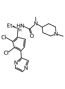 CC[C@@H](NC(=O)N(C)C1CCN(C)CC1)c1ccc(-c2cnccn2)c(Cl)c1Cl